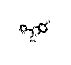 NCCC(Oc1cc(Cl)ccc1Cl)c1ccno1